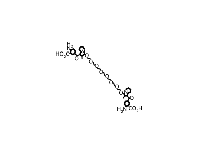 Cc1c(C(=O)c2ccc(N)c(C(=O)O)c2)c2ccccn2c1OCCOCCOCCOCCOCCOCCOCCOc1c(C)c(C(=O)c2ccc(N)c(C(=O)O)c2)c2ccccn12